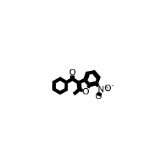 Cc1oc2c([N+](=O)[O-])cccc2c1C(=O)C1CCCCC1